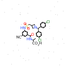 CC(NC(=O)c1cc(C#N)cc(NS(=O)(=O)CC2CN(C(c3ccc(Cl)cc3)c3ccc(Cl)cc3)C2)c1)C(=O)O